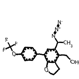 CC(N=[N+]=[N-])c1cc(-c2ccc(OC(F)(F)F)cc2)c2c(c1CO)CCO2